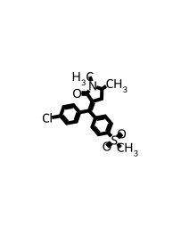 CC1C/C(=C(/c2ccc(Cl)cc2)c2ccc(S(C)(=O)=O)cc2)C(=O)N1C